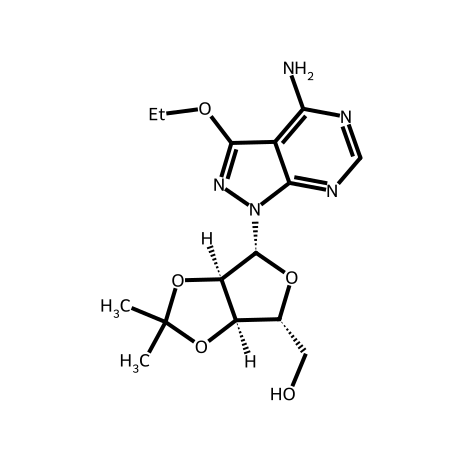 CCOc1nn([C@@H]2O[C@H](CO)[C@H]3OC(C)(C)O[C@H]32)c2ncnc(N)c12